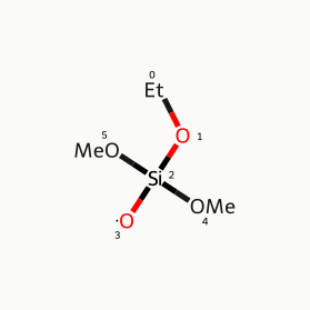 CCO[Si]([O])(OC)OC